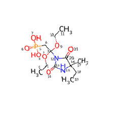 CCOC(CP(=O)(O)O)(OCC)N1C(=O)NC(C)(CC)C1=O